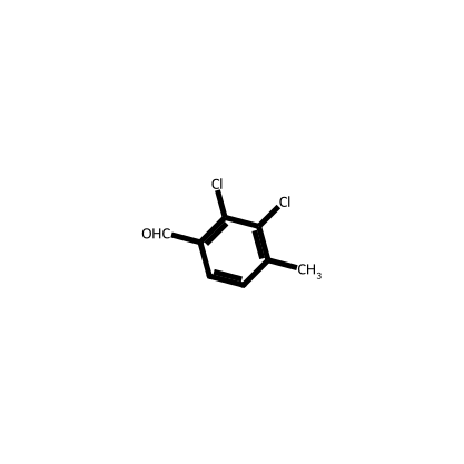 Cc1ccc(C=O)c(Cl)c1Cl